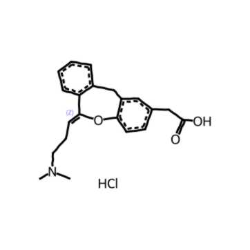 CN(C)CC/C=C1\Oc2ccc(CC(=O)O)cc2Cc2ccccc21.Cl